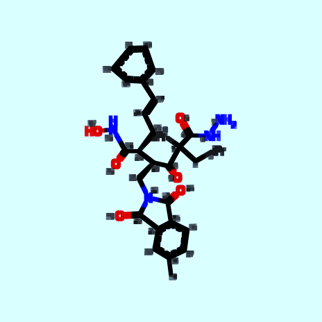 CCCC(CC(C)C)(C(=O)NN)C(=O)[C@@H](CN1C(=O)c2ccc(C)cc2C1=O)[C@H](C/C=C/c1ccccc1)C(=O)NO